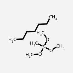 CCCCCCC.CO[Si](C)(OC)OC